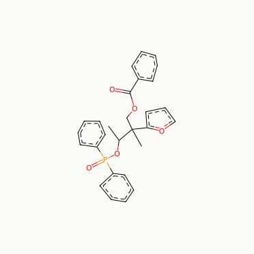 CC(OP(=O)(c1ccccc1)c1ccccc1)C(C)(COC(=O)c1ccccc1)c1ccco1